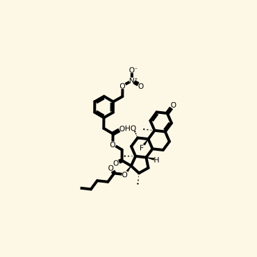 CCCCC(=O)O[C@]1(C(=O)COC(=O)Cc2cccc(CO[N+](=O)[O-])c2)[C@@H](C)C[C@H]2C3CCC4=CC(=O)C=C[C@]4(C)[C@@]3(F)[C@@H](O)C[C@@]21C